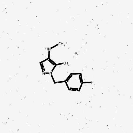 CNc1cnn(Cc2ccc(F)cc2)c1C.Cl